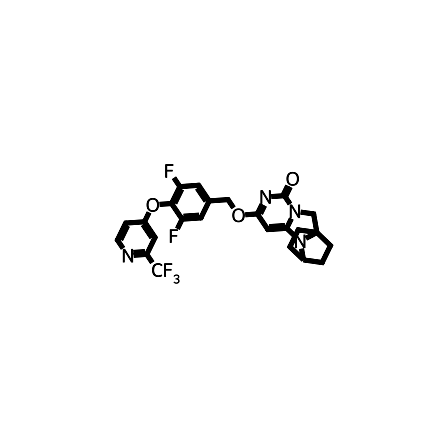 O=c1nc(OCc2cc(F)c(Oc3ccnc(C(F)(F)F)c3)c(F)c2)cc2n1CC13CCC(CC1)N23